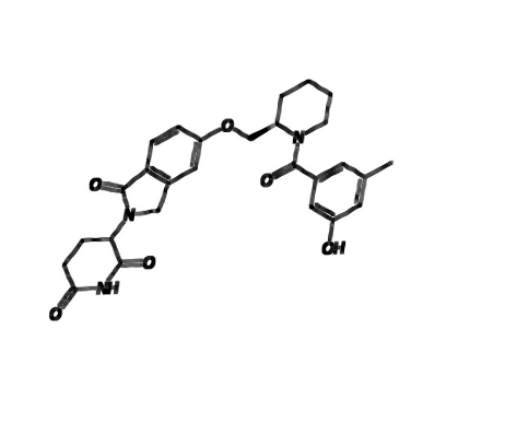 Cc1cc(O)cc(C(=O)N2CCCC[C@@H]2COc2ccc3c(c2)CN(C2CCC(=O)NC2=O)C3=O)c1